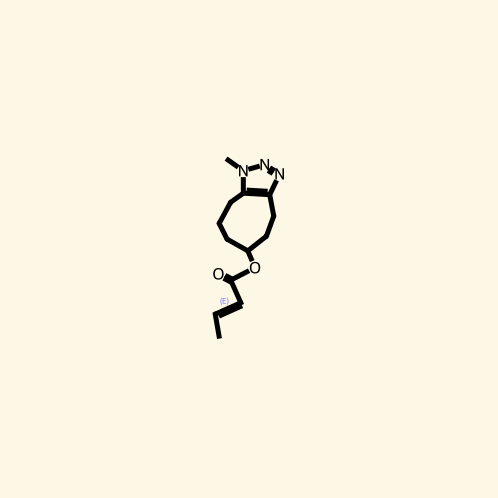 C/C=C/C(=O)OC1CCCc2c(nnn2C)CC1